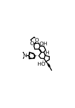 CC#C[C@]1(O)CC[C@H]2C3CC[C@@]4(O)CC5(CCC4=C3[C@@H](c3ccc(N(C)C)cc3)C[C@@]21C)OCCO5